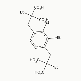 CCc1c(CC(CC)(C(=O)O)C(=O)O)ccc(CC(CC)(C(=O)O)C(=O)O)c1CC